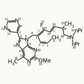 C\C=C/C(Cn1c(-c2cncnc2)nc2c(C)nc(OC)nc21)=C(F)\C=C\C(C)CN(CCC)CCC